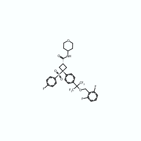 O=C(NC1CCOCC1)[C@H]1C[C@@](c2ccc(C(OCc3c(F)cccc3F)(C(F)(F)F)C(F)(F)F)cc2)(S(=O)(=O)c2ccc(F)cc2)C1